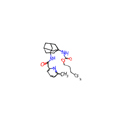 Cc1cccc(C(=O)NC23CC4CC(CC(NC(=O)OCCCC(F)(F)F)(C4)C2)C3)n1